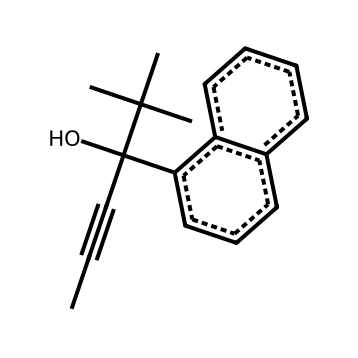 CC#CC(O)(c1cccc2ccccc12)C(C)(C)C